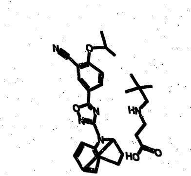 CC(C)(C)CNCCC(=O)O.CC(C)Oc1ccc(-c2nc(N3c4ccc5cc4CCC53)no2)cc1C#N